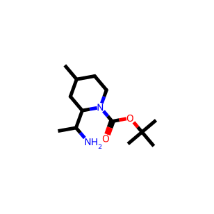 CC1CCN(C(=O)OC(C)(C)C)C(C(C)N)C1